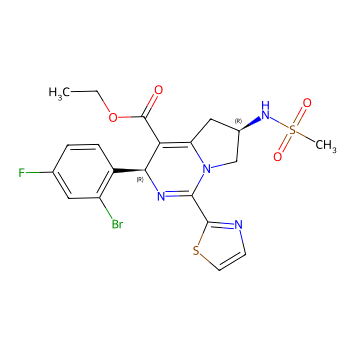 CCOC(=O)C1=C2C[C@@H](NS(C)(=O)=O)CN2C(c2nccs2)=N[C@H]1c1ccc(F)cc1Br